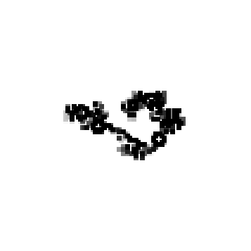 CN(CC1CCC(n2cc(NC(=O)c3cnn4ccc(N5C[C@H]6C[C@@H]5CO6)nc34)c(C(F)F)n2)CC1)CC(CCCOCCCc1cccc2c1n(C)c(=O)n2C1CCC(=O)NC1=O)C(=O)O